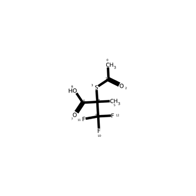 CC(=O)SC(C)(C(=O)O)C(F)(F)F